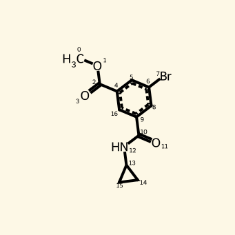 COC(=O)c1cc(Br)cc(C(=O)NC2CC2)c1